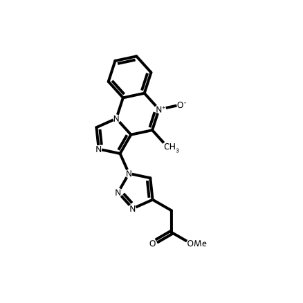 COC(=O)Cc1cn(-c2ncn3c2c(C)[n+]([O-])c2ccccc23)nn1